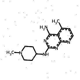 Cc1ccnc2nc(NC3CCN(C)CC3)nc(N)c12